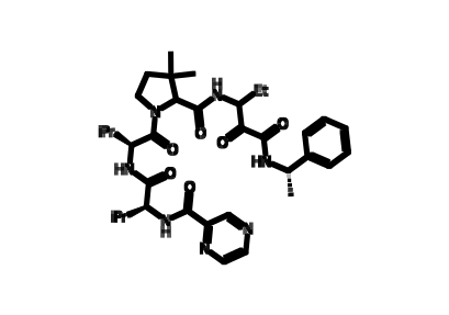 CCC(NC(=O)C1N(C(=O)[C@@H](NC(=O)[C@@H](NC(=O)c2cnccn2)C(C)C)C(C)C)CCC1(C)C)C(=O)C(=O)N[C@@H](C)c1ccccc1